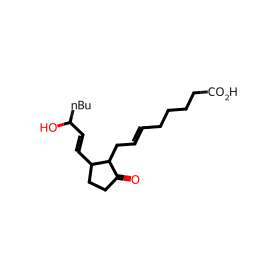 CCCCC(O)C=CC1CCC(=O)C1CC=CCCCCC(=O)O